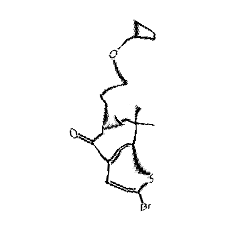 CC1(C)c2sc(Br)cc2C(=O)N1CCOC1CC1